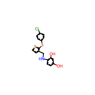 Oc1ccc(NCc2ccsc2Sc2ccc(Cl)cc2)c(O)c1